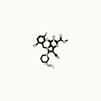 COC(=O)c1nc2c(C#N)c(N3CCC[C@@H](N)C3)n(Cc3cc(F)ccc3Cl)c2c(=O)[nH]1